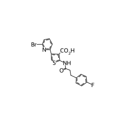 O=C(CCc1ccc(F)cc1)Nc1scc(-c2cccc(Br)n2)c1C(=O)O